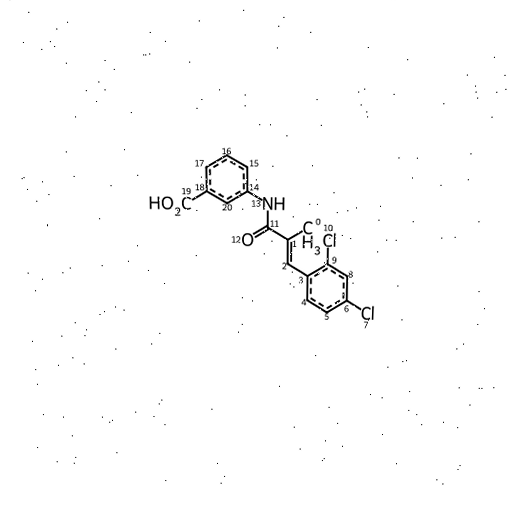 C/C(=C\c1ccc(Cl)cc1Cl)C(=O)Nc1cccc(C(=O)O)c1